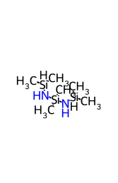 C[SiH](C)N[Si](C)(C)N[SiH](C)C